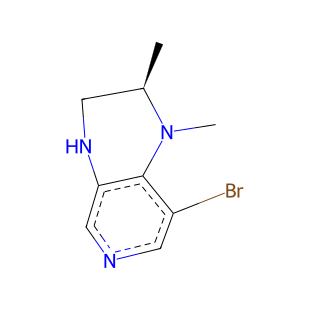 C[C@@H]1CNc2cncc(Br)c2N1C